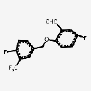 O=Cc1cc(F)ccc1OCc1ccc(F)c(C(F)(F)F)c1